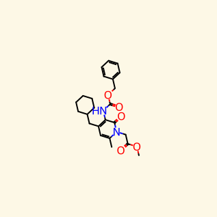 COC(=O)Cn1c(C)cc(CC2CCCCC2)c(NC(=O)OCc2ccccc2)c1=O